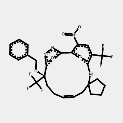 O=[N+]([O-])c1cc(C(F)(F)F)c2nc1-c1nnc(o1)[C@@](OCc1ccccc1)(C(F)(F)F)CCC=CCC1(CCCC1)N2